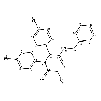 CC(C)c1ccc(N(C(=O)CCl)C(C(=O)NCc2ccccc2)c2ccc(Cl)cc2)cc1